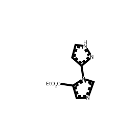 CCOC(=O)c1cncn1-c1cc[nH]n1